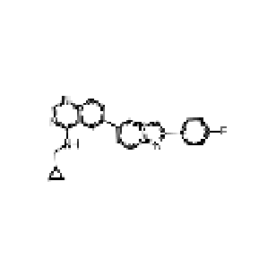 Fc1ccc(-c2cn3cc(-c4ccc5ncnc(NCC6CC6)c5c4)ccc3n2)cc1